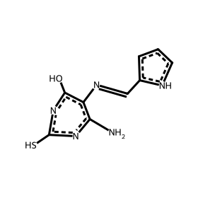 Nc1nc(S)nc(O)c1N=Cc1ccc[nH]1